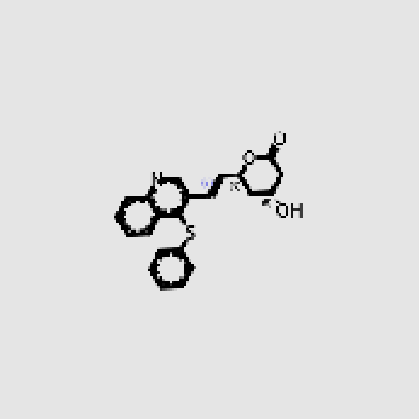 O=C1C[C@H](O)C[C@@H](/C=C/c2cnc3ccccc3c2Sc2ccccc2)O1